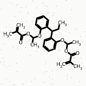 C=C(C)C(=O)OC(C)Oc1ccccc1C(CC)c1ccccc1OC(C)OC(=O)C(=C)C